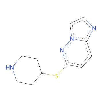 c1cn2nc(SC3CCNCC3)ccc2n1